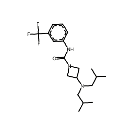 CC(C)CN(CC(C)C)C1CN(C(=O)Nc2cccc(C(F)(F)F)c2)C1